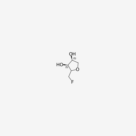 O[C@@H]1C(CF)OC[C@@H]1O